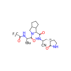 CC(C)(C)C(NC(=O)C(F)(F)F)C(=O)N1CC2CCCC2C1C(=O)NC(C#N)C[C@@H]1CCNC1=O